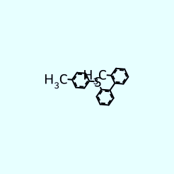 Cc1ccc(Sc2ccccc2-c2ccccc2C)cc1